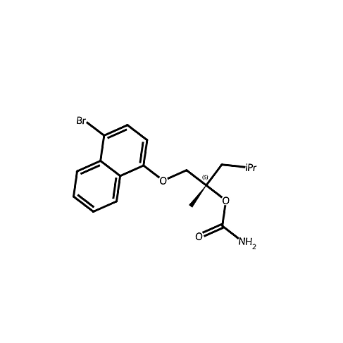 CC(C)C[C@@](C)(COc1ccc(Br)c2ccccc12)OC(N)=O